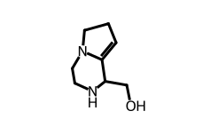 OCC1NCCN2CCC=C12